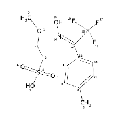 COCCS(=O)(=O)O.Cc1ccc(C(=NO)C(F)(F)F)cc1